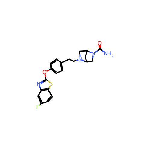 NC(=O)N1CC2CC1CN2CCc1ccc(Oc2nc3cc(F)ccc3s2)cc1